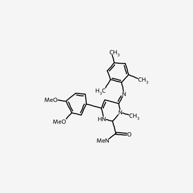 CNC(=O)C1NC(c2ccc(OC)c(OC)c2)=CC(=Nc2c(C)cc(C)cc2C)N1C